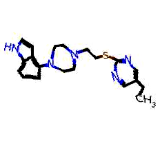 CCc1cnc(SCCN2CCN(c3cccc4[nH]ccc34)CC2)nc1